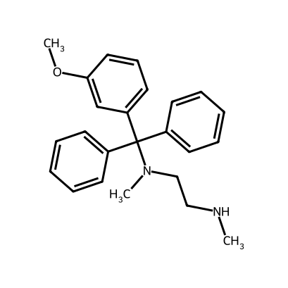 CNCCN(C)C(c1ccccc1)(c1ccccc1)c1cccc(OC)c1